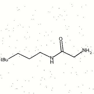 CC(C)(C)CCCNC(=O)CN